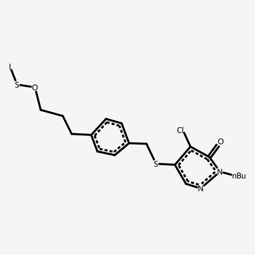 CCCCn1ncc(SCc2ccc(CCCOSI)cc2)c(Cl)c1=O